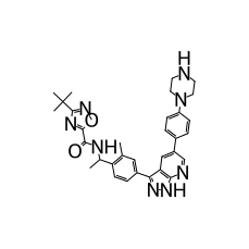 Cc1cc(-c2n[nH]c3ncc(-c4ccc(N5CCNCC5)cc4)cc23)ccc1C(C)NC(=O)c1nc(C(C)(C)C)no1